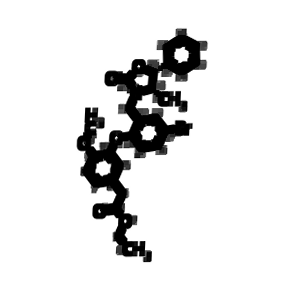 CCOC(=O)Cc1ccc(OC)c(Oc2ccc(Br)cc2CN2C(=O)O[C@H](c3ccccc3)[C@@H]2C)c1